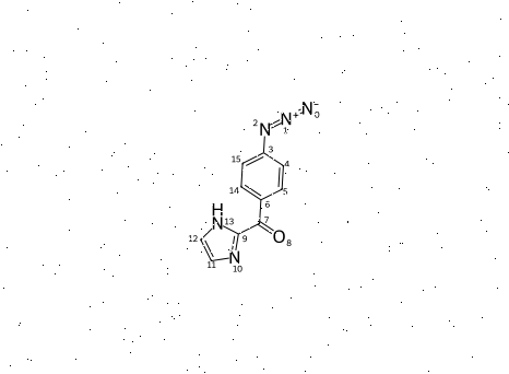 [N-]=[N+]=Nc1ccc(C(=O)c2ncc[nH]2)cc1